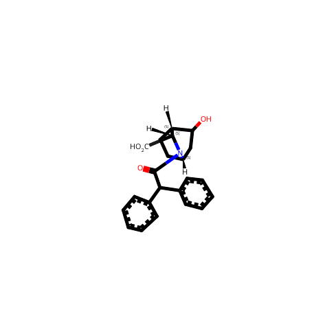 O=C(O)[C@@H]1[C@@H]2CC[C@@H](CC2O)N1C(=O)C(c1ccccc1)c1ccccc1